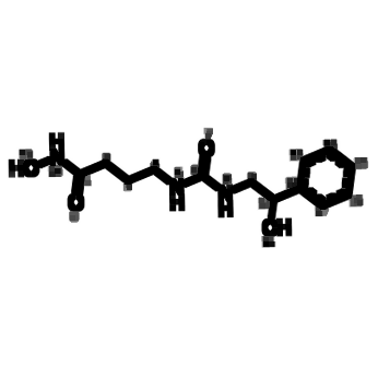 O=C(CCCNC(=O)NCC(O)c1ccccc1)NO